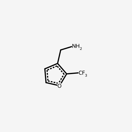 NCc1ccoc1C(F)(F)F